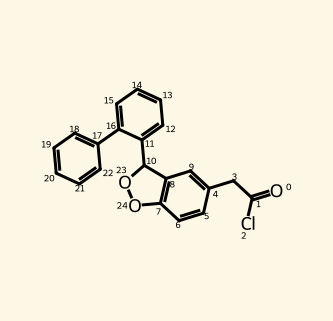 O=C(Cl)Cc1ccc2c(c1)C(c1ccccc1-c1ccccc1)OO2